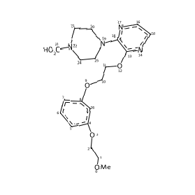 COCCOc1cccc(OCCOc2nccnc2N2CCN(C(=O)O)CC2)c1